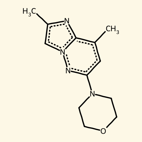 Cc1cn2nc(N3CCOCC3)cc(C)c2n1